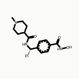 CC[C@H](NC(=O)C1CCN(C)CC1)c1ccc(C(=O)NO)cc1